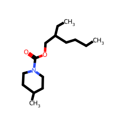 CCCCC(CC)COC(=O)N1CCC(C)CC1